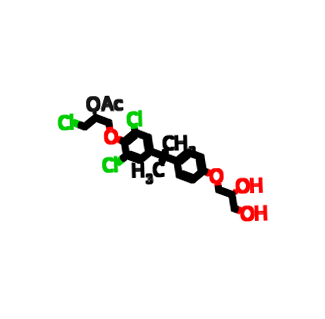 CC(=O)O[C@@H](CCl)COc1c(Cl)cc(C(C)(C)c2ccc(OC[C@@H](O)CO)cc2)cc1Cl